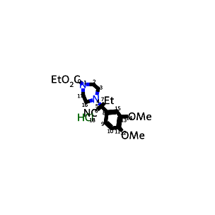 CCOC(=O)N1CCN(C(C#N)(CC)c2ccc(OC)c(OC)c2)CC1.Cl